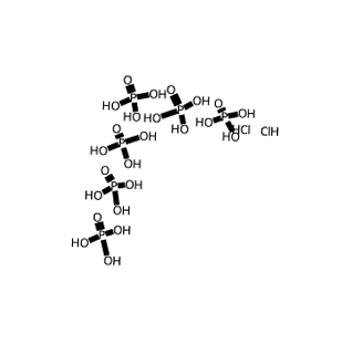 Cl.Cl.O=P(O)(O)O.O=P(O)(O)O.O=P(O)(O)O.O=P(O)(O)O.O=P(O)(O)O.O=P(O)(O)O